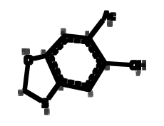 CC(=O)c1cc2c(cc1O)SCO2